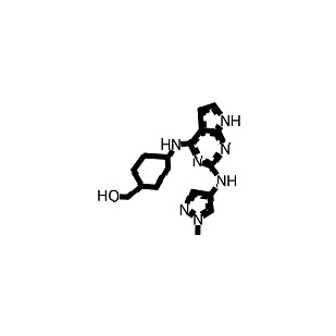 Cn1cc(Nc2nc(NC3CCC(CO)CC3)c3cc[nH]c3n2)cn1